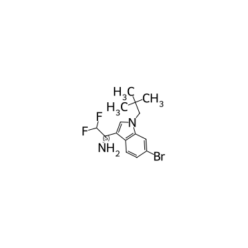 CC(C)(C)Cn1cc([C@H](N)C(F)F)c2ccc(Br)cc21